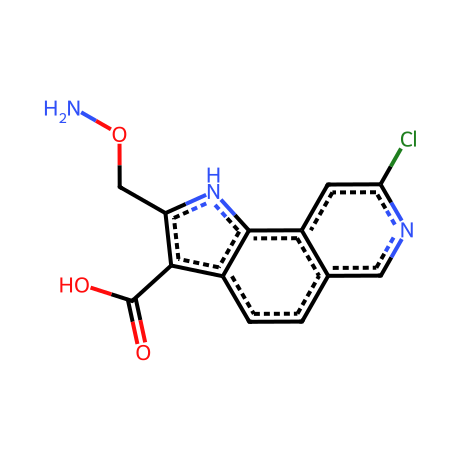 NOCc1[nH]c2c(ccc3cnc(Cl)cc32)c1C(=O)O